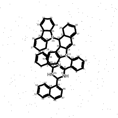 C1=CCC(C2N=C(c3ccccc3N3C4=CC5=CC=CCC5C(N5C6=C(C=CCC6)C6C=CC=CC65)C4C4=C3CCC=C4)NC(c3cccc4ccccc34)N2)C=C1